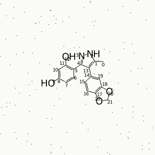 Cc1[nH]nc(-c2ccc(O)cc2O)c1-c1ccc2c(c1)OCO2